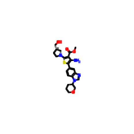 COC(=O)c1c(N2CC[C@H](CO)C2)sc(-c2ccc3c(c2)ncn3C2CCCOC2)c1N